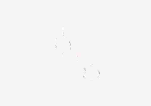 CC(=O)OCc1cc(OCc2ccccc2)c(SC(C)(C)C)cn1